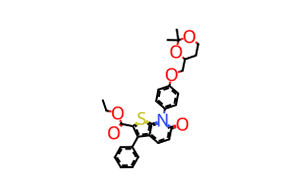 CCOC(=O)c1sc2c(ccc(=O)n2-c2ccc(OCC3CCOC(C)(C)O3)cc2)c1-c1ccccc1